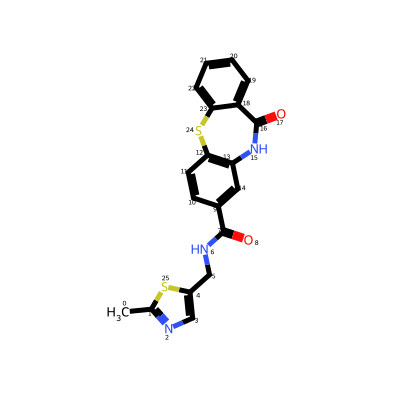 Cc1ncc(CNC(=O)c2ccc3c(c2)NC(=O)c2ccccc2S3)s1